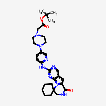 CC(C)(C)OC(=O)CN1CCN(c2ccc(Nc3ncc4cc5n(c4n3)C3(CCCCC3)CNC5=O)nc2)CC1